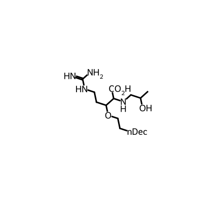 CCCCCCCCCCCCOC(CCNC(=N)N)C(NCC(C)O)C(=O)O